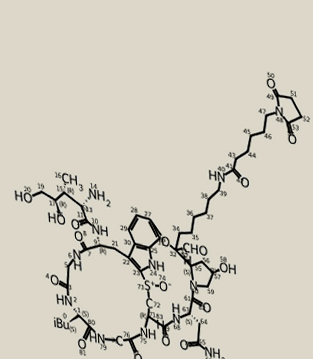 CC[C@H](C)[C@@H]1NC(=O)CNC(=O)[C@H](NC(=O)[C@@H](N)[C@@H](C)[C@@H](O)CO)Cc2c3[nH]c4cc(ccc24)OC(C=O)(CCCCCCNC(=O)CCCCCN2C(=O)CCC2=O)[C@@H]2C[C@@H](O)CN2C(=O)[C@H](CC(N)=O)NC(=O)[C@H](C[S+]3[O-])NC(=O)CNC1=O